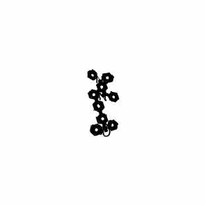 O=P(c1ccccc1)(c1ccccc1)c1ccc(-c2ccc(-c3cccc4c3nc(-c3ccccc3)c3cc5c6ccccc6n(-c6ccccc6)c5cc34)cc2)cc1